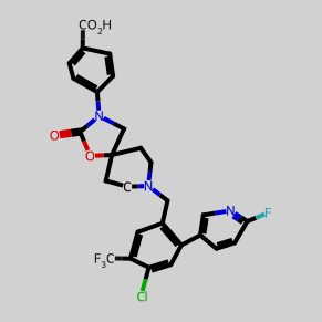 O=C(O)c1ccc(N2CC3(CCN(Cc4cc(C(F)(F)F)c(Cl)cc4-c4ccc(F)nc4)CC3)OC2=O)cc1